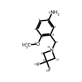 COc1ccc(N)cc1CN1CC(F)(F)C1